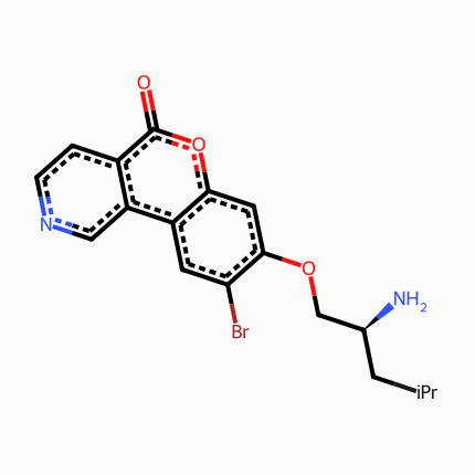 CC(C)C[C@H](N)COc1cc2oc(=O)c3ccncc3c2cc1Br